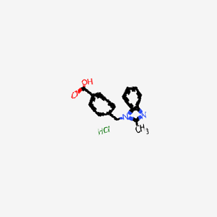 Cc1nc2ccccc2n1Cc1ccc(C(=O)O)cc1.Cl